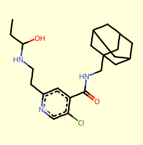 CCC(O)NCCc1cc(C(=O)NCC23CC4CC(CC(C4)C2)C3)c(Cl)cn1